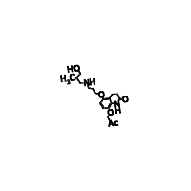 CC(=O)COc1ccc(OCCCNCC(C)CO)c2c1NC(=O)CC2